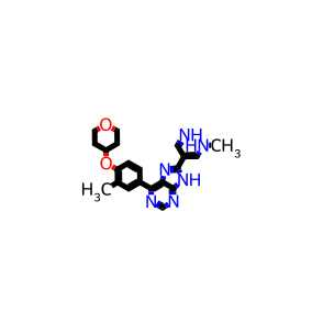 CN/C=C(\C=N)c1nc2c(-c3ccc(OC4CCOCC4)c(C)c3)ncnc2[nH]1